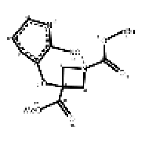 CCCCOC(=O)N1CC(Oc2cccnc2[N+](=O)[O-])(C(=O)OC)C1